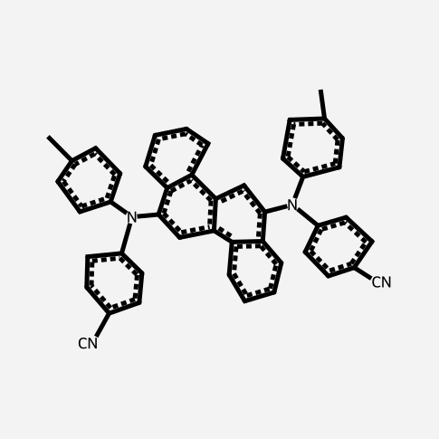 [C-]#[N+]c1ccc(N(c2ccc(C)cc2)c2cc3c4ccccc4c(N(c4ccc(C)cc4)c4ccc(C#N)cc4)cc3c3ccccc23)cc1